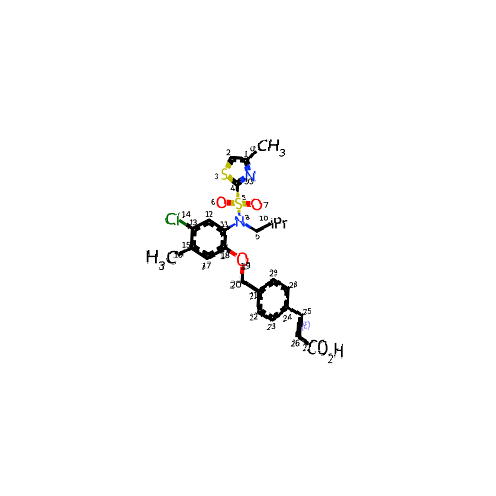 Cc1csc(S(=O)(=O)N(CC(C)C)c2cc(Cl)c(C)cc2OCc2ccc(/C=C/C(=O)O)cc2)n1